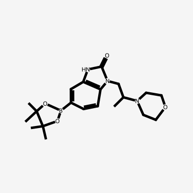 CC(Cn1c(=O)[nH]c2cc(B3OC(C)(C)C(C)(C)O3)ccc21)N1CCOCC1